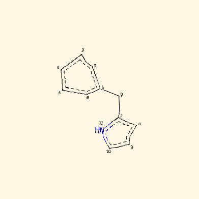 [CH](c1ccccc1)c1ccc[nH]1